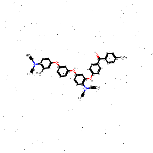 C#CN(C#C)c1ccc(Oc2cccc(Oc3ccc(N(C#C)C#C)c(Oc4ccc(C(=O)c5ccc(OC)cc5)cc4)c3)c2)cc1OC